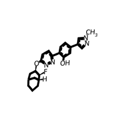 Cn1cc(-c2ccc(-c3ccc(O[C@@H]4CC5CCC[C@H](C5)[C@@H]4F)nn3)c(O)c2)cn1